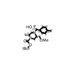 COC[C@@H]1CN(C(=O)OC(C)(C)C)[C@@H](C)CN1C(C(=O)O)c1ccc(F)cc1